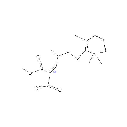 COC(=O)/C(=C\C(C)CCC1=C(C)CCCC1(C)C)C(=O)O